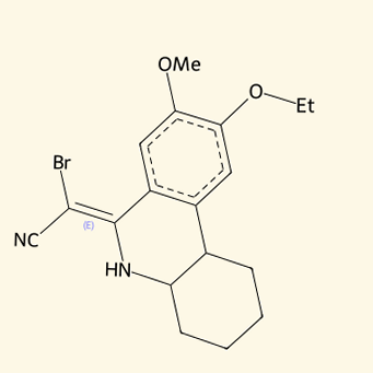 CCOc1cc2c(cc1OC)/C(=C(\Br)C#N)NC1CCCCC21